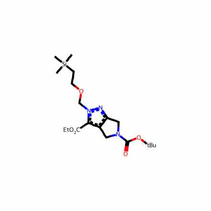 CCOC(=O)c1c2c(nn1COCC[Si](C)(C)C)CN(C(=O)OC(C)(C)C)C2